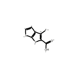 O=C(O)c1sc2sccc2c1F